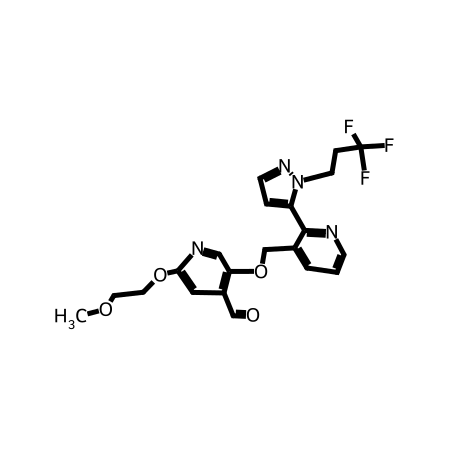 COCCOc1cc(C=O)c(OCc2cccnc2-c2ccnn2CCC(F)(F)F)cn1